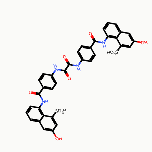 O=C(Nc1ccc(C(=O)Nc2cccc3cc(O)cc(S(=O)(=O)O)c23)cc1)C(=O)Nc1ccc(C(=O)Nc2cccc3cc(O)cc(S(=O)(=O)O)c23)cc1